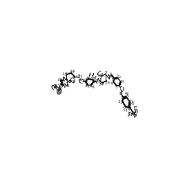 C[C@H]1CN(Cc2ccc(OCc3ccc(C(F)(F)F)cc3)cc2)CCN1c1ccc(OC[C@@H]2CCn3cc([N+](=O)[O-])nc3O2)cc1